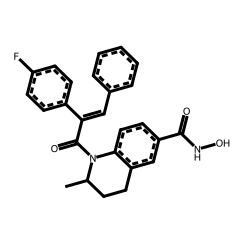 CC1CCc2cc(C(=O)NO)ccc2N1C(=O)C(=Cc1ccccc1)c1ccc(F)cc1